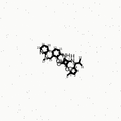 Cc1ccc([C@H](Nc2c(Nc3cccc(CN(C)c4ccccn4)c3O)c(=O)c2=O)C(C)C)o1